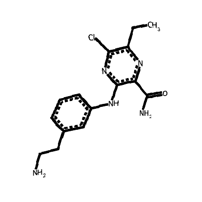 CCc1nc(C(N)=O)c(Nc2cccc(CCN)c2)nc1Cl